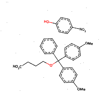 COc1ccc(C(OCCCC(=O)O)(c2ccccc2)c2ccc(OC)cc2)cc1.O=[N+]([O-])c1ccc(O)cc1